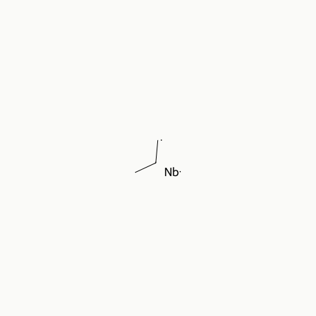 [CH2]CC.[Nb]